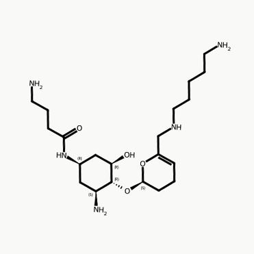 NCCCCCNCC1=CCC[C@@H](O[C@H]2[C@H](O)C[C@H](NC(=O)CCCN)C[C@@H]2N)O1